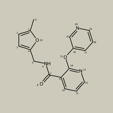 Cc1ccc(CNC(=O)c2cccnc2Oc2cccnc2)o1